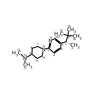 C[C@H](c1ccc(N2CCC(N(C)C)CC2)nc1)C(C)(C)C